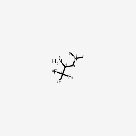 CN(C)CC(N)C(F)(F)F